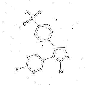 CS(=O)(=O)c1ccc(-c2csc(Br)c2-c2ccc(F)nc2)cc1